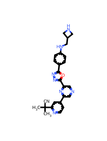 CC(C)(C#N)c1cc(-c2cncc(-c3nnc(-c4ccc(NCC5CNC5)cc4)o3)n2)ccn1